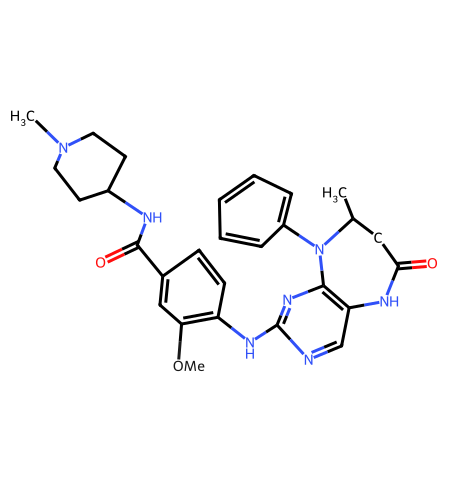 COc1cc(C(=O)NC2CCN(C)CC2)ccc1Nc1ncc2c(n1)N(c1ccccc1)C(C)CC(=O)N2